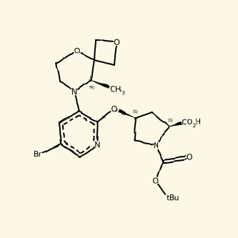 C[C@H]1N(c2cc(Br)cnc2O[C@H]2C[C@@H](C(=O)O)N(C(=O)OC(C)(C)C)C2)CCOC12COC2